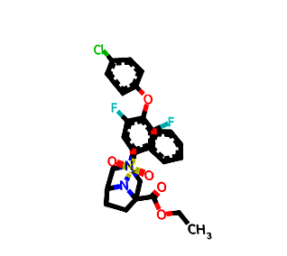 CCOC(=O)C12CCC(CN(Cc3ccccc3)C1)N2S(=O)(=O)c1cc(F)c(Oc2ccc(Cl)cc2)c(F)c1